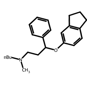 CCCCN(C)CCC(Oc1ccc2c(c1)CCC2)c1ccccc1